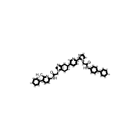 Cc1nc(NC(=O)Cn2cnc3c2CCC(c2ccc(-c4nccn4CC(=O)Nc4ccc(-c5ccccc5)cc4)nc2)C3)ccc1-c1ccccc1